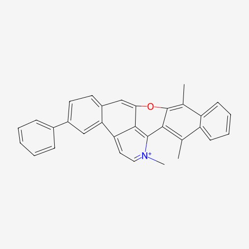 Cc1c2c(c(C)c3ccccc13)-c1c3c(cc4ccc(-c5ccccc5)cc4c3cc[n+]1C)O2